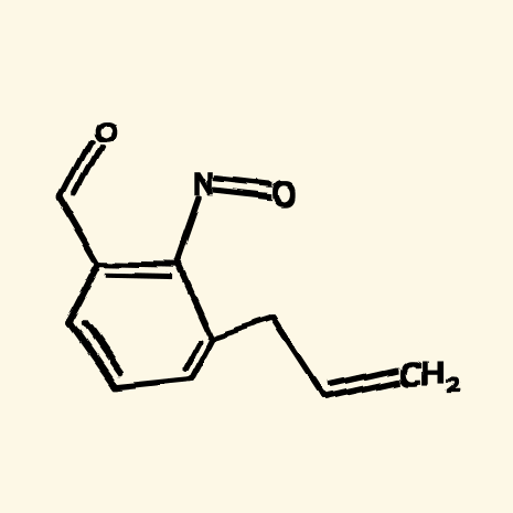 C=CCc1cccc(C=O)c1N=O